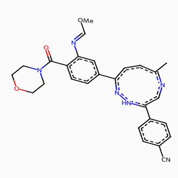 COC=Nc1cc(-c2ccc(C)ncc(-c3ccc(C#N)cc3)[nH]n2)ccc1C(=O)N1CCOCC1